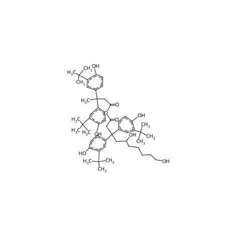 CC(C)(C)c1cc(C(C)(CC(=O)OC(=O)CC(CC(O)CCCCCO)(c2ccc(O)c(C(C)(C)C)c2)c2ccc(O)c(C(C)(C)C)c2)c2ccc(O)c(C(C)(C)C)c2)ccc1O